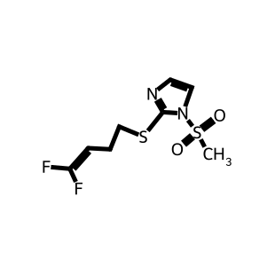 CS(=O)(=O)n1ccnc1SCCC=C(F)F